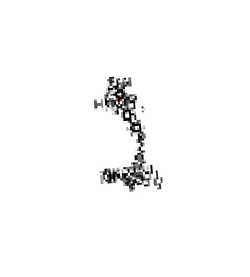 CN(C(=S)N(c1ccc(-c2ccc(OCCCCOCC(=O)NC(C(=O)N3CCC[C@H]3C(=O)NCc3cnco3)C(C)(C)C)cc2)nc1)C(C)(C)C=O)c1ccc(C#N)c(C(F)(F)F)c1F